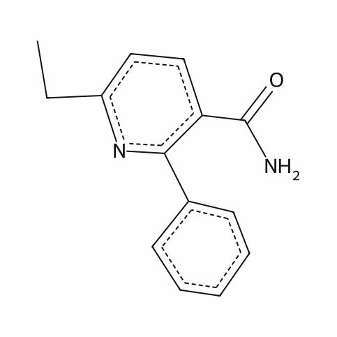 CCc1ccc(C(N)=O)c(-c2ccccc2)n1